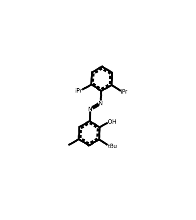 Cc1cc(N=Nc2c(C(C)C)cccc2C(C)C)c(O)c(C(C)(C)C)c1